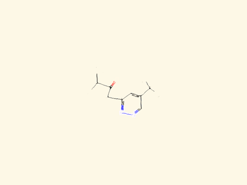 CC(C)C(=O)Cc1cc(C(C)C)cnn1